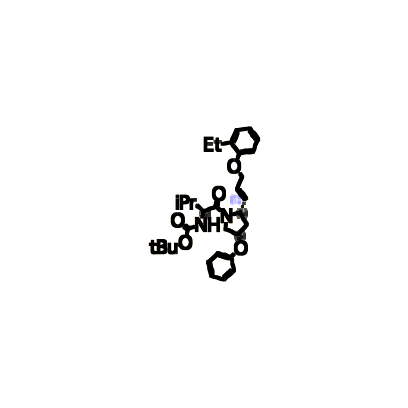 CCc1ccccc1OC/C=C/[C@@H]1C[C@H](Oc2ccccc2)CN1C(=O)[C@@H](NC(=O)OC(C)(C)C)C(C)C